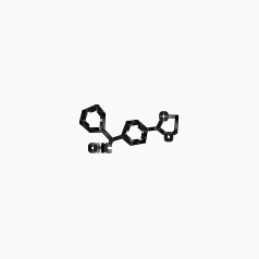 O=CC(c1ccccc1)c1ccc(C2OCCO2)cc1